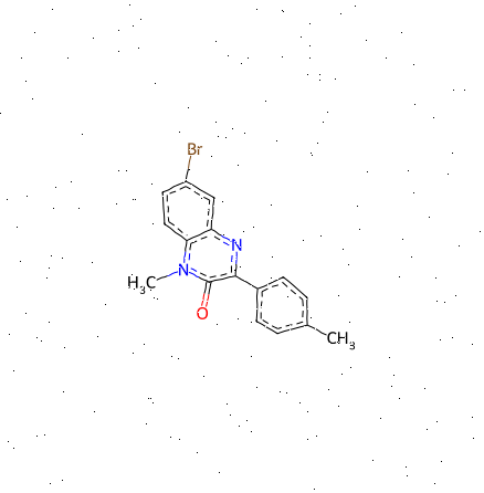 Cc1ccc(-c2nc3cc(Br)ccc3n(C)c2=O)cc1